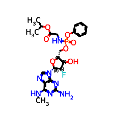 CNc1nc(N)nc2c1ncn2[C@@H]1O[C@H](COP(=O)(NCC(=O)OC(C)C)Oc2ccccc2)[C@@H](O)[C@@H]1F